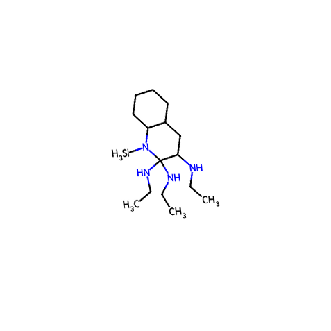 CCNC1CC2CCCCC2N([SiH3])C1(NCC)NCC